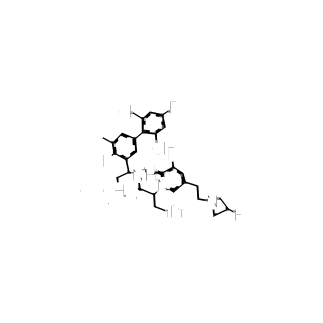 Cc1cc(-c2c(Cl)cc(F)cc2Cl)cc(C(CC(=O)O)NC(=O)C(CC(C)C)n2cc(CCN3CC(F)C3)cc(F)c2=O)c1F